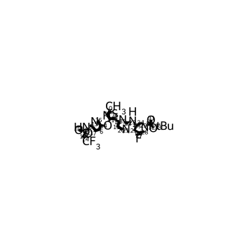 Cc1nc(Oc2ccc(NS(=O)(=O)CC(F)(F)F)nc2)c(-c2ccnc(N[C@H]3C[C@H](F)CN(C(=O)OC(C)(C)C)C3)n2)s1